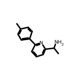 Cc1ccc(-c2cccc(C(C)N)n2)cc1